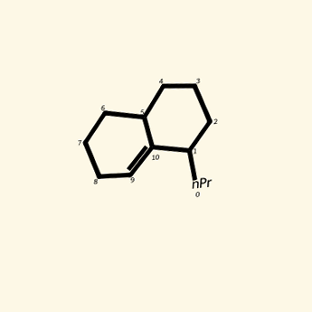 [CH2]CCC1CCCC2CCCC=C12